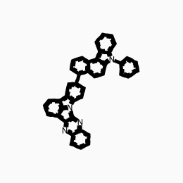 c1ccc(-n2c3ccccc3c3c4cccc(-c5ccc6c(c5)c5cccc7c8nc9ccccc9nc8n6c57)c4ccc32)cc1